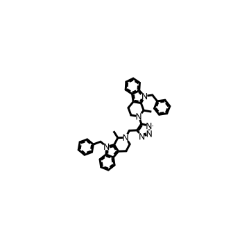 CC1c2c(c3ccccc3n2Cc2ccccc2)CCN1CC1=C(N2CCc3c(n(Cc4ccccc4)c4ccccc34)C2C)[N]N=N1